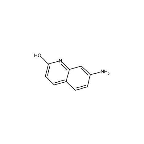 Nc1ccc2ccc(O)nc2c1